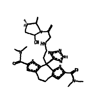 C=C(CNCCC1(c2nn[nH]n2)c2sc(C(=O)N(C)C)cc2CCc2cc(C(=O)N(C)C)sc21)N1C(C#N)C[C@H](C)C1C